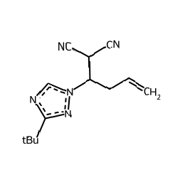 C=CCC(C(C#N)C#N)n1cnc(C(C)(C)C)n1